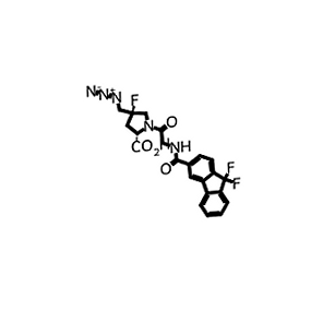 [N-]=[N+]=NC[C@@]1(F)C[C@@H](C(=O)O)N(C(=O)CNC(=O)c2ccc3c(c2)-c2ccccc2C3(F)F)C1